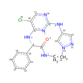 CNC(=O)[C@@H](Nc1nc(Nc2cnn(C)c2)ncc1Cl)c1ccccc1